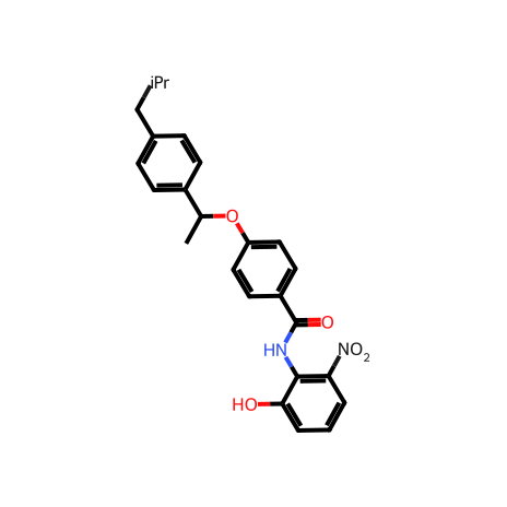 CC(C)Cc1ccc(C(C)Oc2ccc(C(=O)Nc3c(O)cccc3[N+](=O)[O-])cc2)cc1